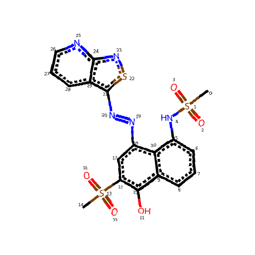 CS(=O)(=O)Nc1cccc2c(O)c(S(C)(=O)=O)cc(/N=N/c3snc4ncccc34)c12